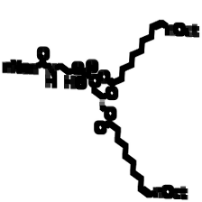 CCCCCCCC/C=C\CCCCCCCC(=O)OC[C@H](COP(=O)(O)OCCNC(=O)CCCCCCCCC)OC(=O)CCCCCCC/C=C\CCCCCCCC